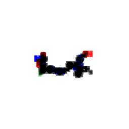 Cc1nn2c(N3CCN(CCO)CC3)cc(-c3cccc(CCCN4CCN(CCN5CCC(c6cc(F)cc7c6CN(C6CCC(=O)NC6=O)C7=O)CC5)CC4)c3)nc2c1-c1ccccc1